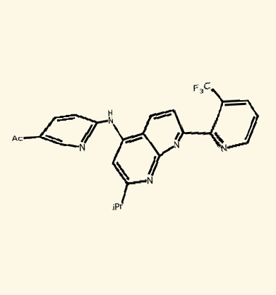 CC(=O)c1ccc(Nc2cc(C(C)C)nc3nc(-c4ncccc4C(F)(F)F)ccc23)nc1